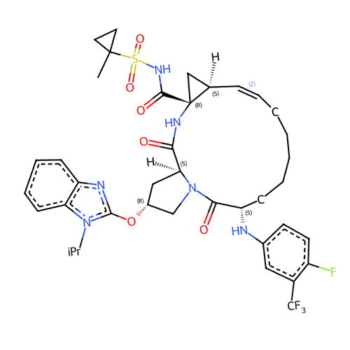 CC(C)n1c(O[C@@H]2C[C@H]3C(=O)N[C@]4(C(=O)NS(=O)(=O)C5(C)CC5)C[C@H]4/C=C\CCCCC[C@H](Nc4ccc(F)c(C(F)(F)F)c4)C(=O)N3C2)nc2ccccc21